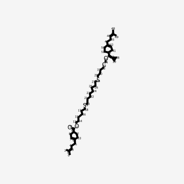 CC(C)=CCCC1=CCC(C(=O)OCCCCCCSCCCCCCCCSCCCCCCOC(=C2CC2)C2CC=C(CCC=C(C)C)CC2)CC1